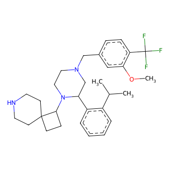 COc1cc(CN2CCN(C3CCC34CCNCC4)C(c3ccccc3C(C)C)C2)ccc1C(F)(F)F